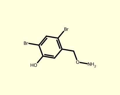 NOCc1cc(O)c(Br)cc1Br